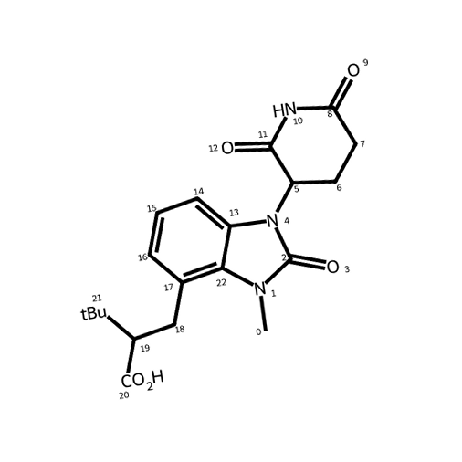 Cn1c(=O)n(C2CCC(=O)NC2=O)c2cccc(CC(C(=O)O)C(C)(C)C)c21